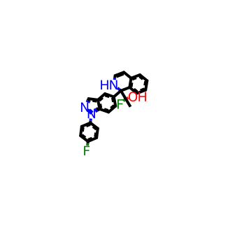 CC(O)(F)C1(c2ccc3c(cnn3-c3ccc(F)cc3)c2)NC=Cc2ccccc21